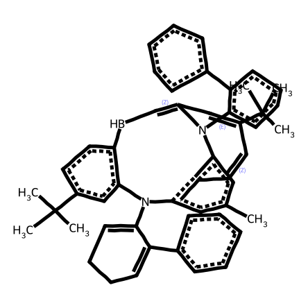 Cc1cc2c3c(c1)N(c1ccccc1-c1ccccc1)C(=C\Bc1ccc(C(C)(C)C)cc1N2C1=CCCC=C1c1ccccc1)/C=C(C(C)(C)C)\C=C/3